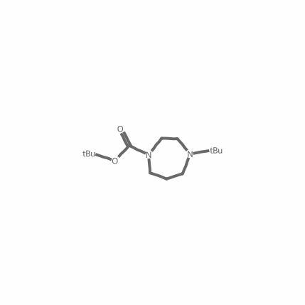 CC(C)(C)OC(=O)N1CCCN(C(C)(C)C)CC1